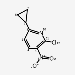 O=[N+]([O-])c1ccc(C2CC2)nc1Cl